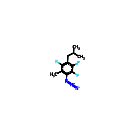 Cc1c(F)c(CC(C)C)c(F)c(F)c1N=[N+]=[N-]